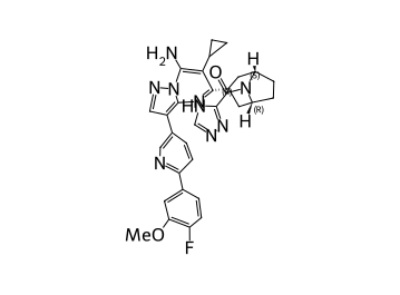 COc1cc(-c2ccc(-c3cnn4c(N)c(C5CC5)c([C@H]5C[C@H]6CC[C@@H](C5)N6C(=O)c5nnc[nH]5)nc34)cn2)ccc1F